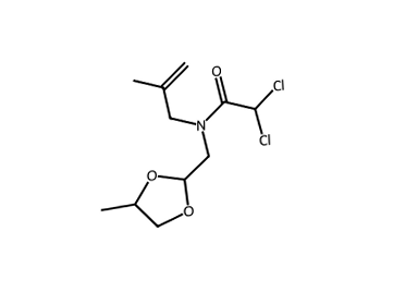 C=C(C)CN(CC1OCC(C)O1)C(=O)C(Cl)Cl